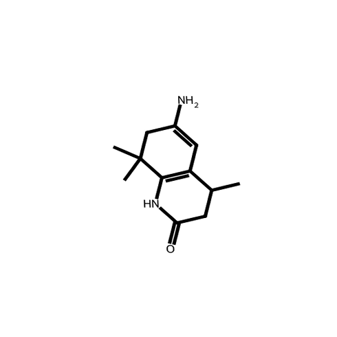 CC1CC(=O)NC2=C1C=C(N)CC2(C)C